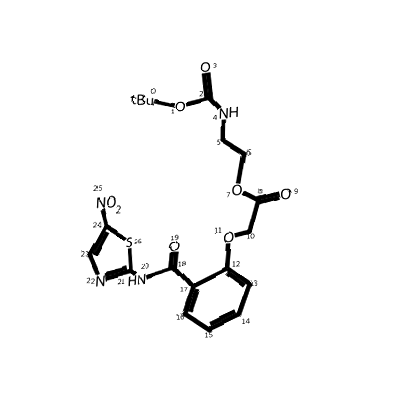 CC(C)(C)OC(=O)NCCOC(=O)COc1ccccc1C(=O)Nc1ncc([N+](=O)[O-])s1